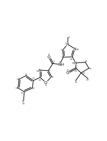 Cn1cc(NC(=O)c2coc(-c3cccc(F)c3)n2)c(N2CCC(C)(C)C2=O)n1